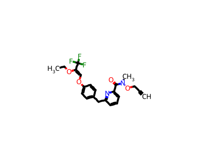 C#CCON(C)C(=O)c1cccc(Cc2ccc(O/C=C(\OCC)C(F)(F)F)cc2)n1